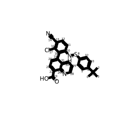 CC(C)(C)c1ccc(SNc2ccc(C#N)c(Cl)c2-c2ccc(C(=O)O)c3ncccc23)cc1